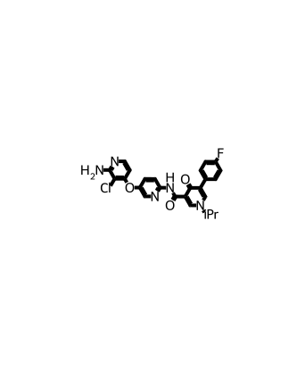 CC(C)n1cc(C(=O)Nc2ccc(Oc3ccnc(N)c3Cl)cn2)c(=O)c(-c2ccc(F)cc2)c1